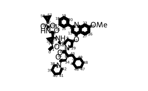 C=C[C@H]1C[C@]1(NC(=O)[C@@H]1C[C@@H](Oc2cc(-c3ccccc3)nc3cc(OC)ccc23)CN1C(=O)[C@H](CC(=O)N1CCCCC1)CC1CCCCC1)C(=O)NS(=O)(=O)C1CC1